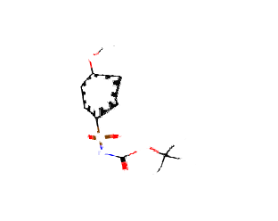 CCCC(C)(CCC)OC(=O)NS(=O)(=O)c1ccc(OC(C)(C)C)cc1